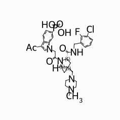 CC(=O)c1cn(CC(=O)N2[C@H]3C[C@@]3(CN3CCN(C)CC3)C[C@H]2C(=O)NCc2cccc(Cl)c2F)c2cc(P(=O)(O)O)ccc12